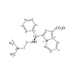 CCOC(=O)c1cc([C@@H](NCCN(C)C)c2ccccc2)n2ccccc12